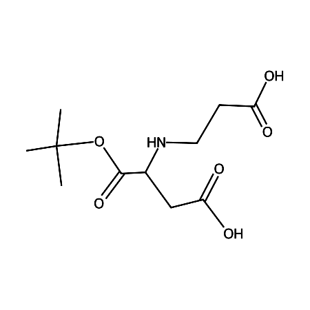 CC(C)(C)OC(=O)C(CC(=O)O)NCCC(=O)O